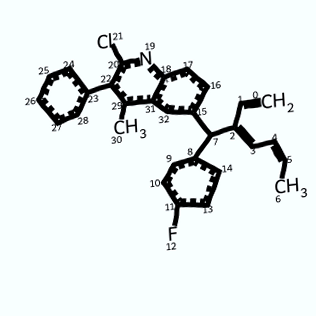 C=C/C(=C\C=C/C)C(c1ccc(F)cc1)c1ccc2nc(Cl)c(-c3ccccc3)c(C)c2c1